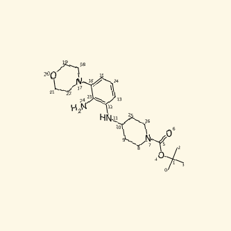 CC(C)(C)OC(=O)N1CCC(Nc2cccc(N3CCOCC3)c2N)CC1